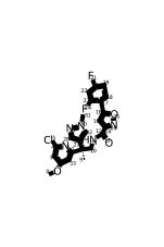 COc1cc(Cl)nc([C@](C)(CNC(=O)c2cc(-c3ccc(F)cc3F)on2)c2cnn(C)c2)c1